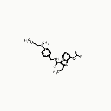 CCc1nc2c(OC(F)F)cccn2c1C(=O)NCc1ccc(N(C)CCOC)cc1